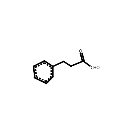 O=CC(=O)CCc1cc[c]cc1